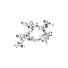 CC(=O)N[C@@H](CCCNC(=N)N)C(O)N[C@H]1CC(=O)NCCCC[C@@H](C(N)=O)NC(=O)[C@H](Cc2c[nH]c3ccccc23)NC(=O)[C@H](CCCNC(=N)N)NC(=O)[C@@H](Cc2ccccc2)NC(O)[C@@H](CCCCN)NC1=O